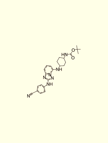 CC(C)(C)OC(=O)NC1CCC(Nc2cccc3nc(Nc4ccc(C#N)cc4)nn23)CC1